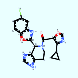 O=C(c1ocnc1C1CC1)N1CCc2[nH]cnc2[C@H]1c1nc2cc(F)ccc2o1